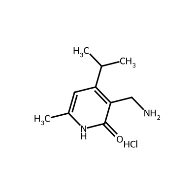 Cc1cc(C(C)C)c(CN)c(=O)[nH]1.Cl